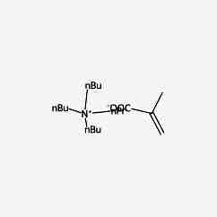 C=C(C)C(=O)[O-].CCCC[N+](CCC)(CCCC)CCCC